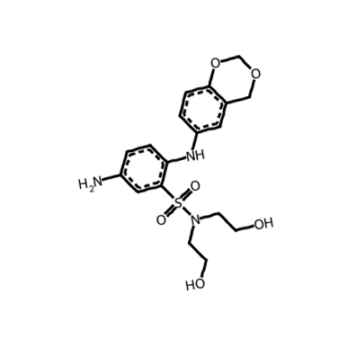 Nc1ccc(Nc2ccc3c(c2)COCO3)c(S(=O)(=O)N(CCO)CCO)c1